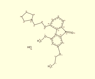 CCCOc1cc(OC)c2c(c1)C(=O)c1cccc(OCCN3CCCC3)c1-2.Cl